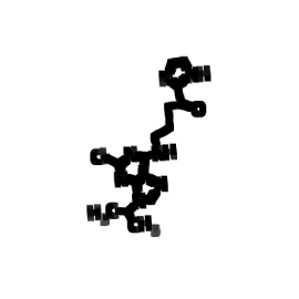 CC(C)n1cnc2c(NCCCC(=O)c3ncc[nH]3)nc(Cl)nc21